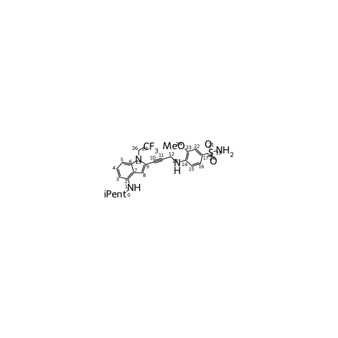 CCCC(C)Nc1cccc2c1cc(C#CCNc1ccc(S(N)(=O)=O)cc1OC)n2CC(F)(F)F